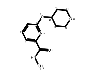 CNC(=O)c1cccc(OC2CCOCC2)n1